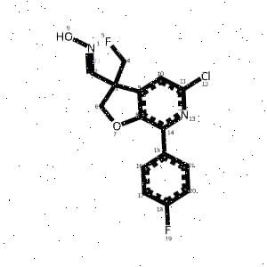 O/N=C/C1(CF)COc2c1cc(Cl)nc2-c1ccc(F)cc1